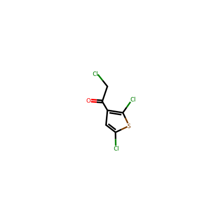 O=C(CCl)c1cc(Cl)sc1Cl